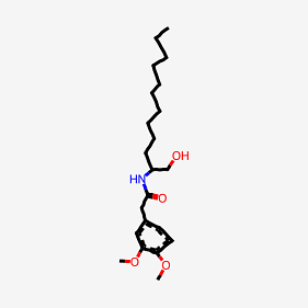 CCCCCCCCCCC(CO)NC(=O)Cc1ccc(OC)c(OC)c1